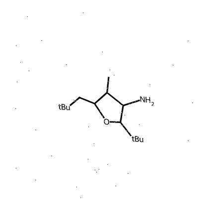 CC1C(CC(C)(C)C)OC(C(C)(C)C)C1N